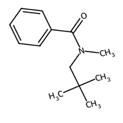 CN(CC(C)(C)C)C(=O)c1ccccc1